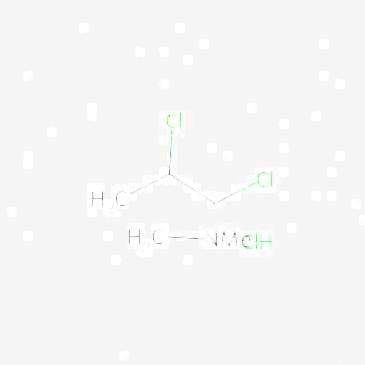 CC(Cl)CCl.CNC.Cl